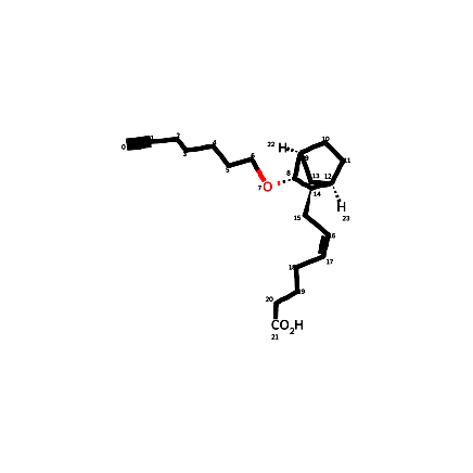 C#CCCCCCO[C@@H]1[C@H]2CC[C@H](C2)[C@H]1C/C=C\CCCC(=O)O